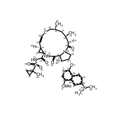 COc1cnc(O[C@@H]2C[C@H]3C(=O)N[C@]4(C(=O)NS(=O)(=O)C5(C)CC5)C[C@H]4/C=C\CC[C@@H](C)C[C@@H](C)[C@H](I)C(=O)N3C2)c2ccc(N(C)C)cc12